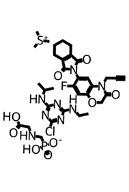 C#CCN1C(=O)COc2cc(F)c(N3C(=O)C4=C(CCCC4)C3=O)cc21.CCNc1nc(Cl)nc(NC(C)C)n1.C[S+](C)C.O=C(O)CNCP(=O)([O-])O